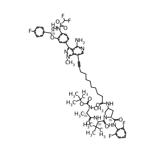 C[C@H](Oc1cc(-c2nn(C)c3c(C#CCCCCCCCCC(=O)NC4C[C@@H](C(=O)Nc5c(F)cccc5F)N(C(=O)[C@@H](NC(=O)[C@H](C)N(C)C(=O)OC(C)(C)C)C(C)(C)C)C4)cnc(N)c23)ccc1NS(=O)(=O)C(F)F)c1ccc(F)cc1